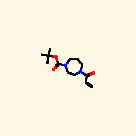 C=CC(=O)N1CCCN(C(=O)OC(C)(C)C)CC1